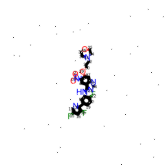 O=[N+]([O-])c1cc2c(Nc3cc(-c4ncc(F)cc4F)ccc3F)ncnc2cc1OCCCN1CCOCC1